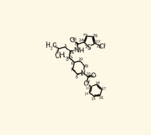 CC(C)CC(CC1CCN(C(=O)Oc2ccccc2)CC1)NC(=O)c1ccc(Cl)s1